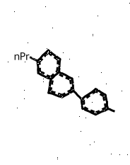 CCCc1ccc2cc(-c3ccc(C)cc3)ccc2c1